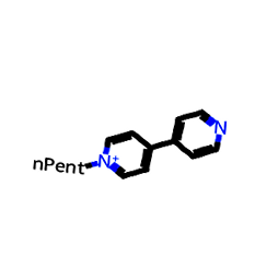 CCCCC[n+]1ccc(-c2ccncc2)cc1